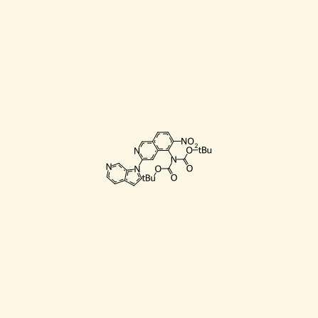 CC(C)(C)OC(=O)N(C(=O)OC(C)(C)C)c1c([N+](=O)[O-])ccc2cnc(-n3ccc4ccncc43)cc12